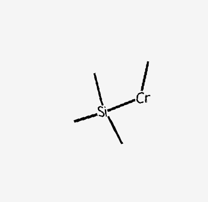 [CH3][Cr][Si](C)(C)C